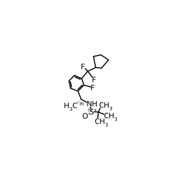 C[C@@H](N[S@+]([O-])C(C)(C)C)c1cccc(C(F)(F)C2CCCC2)c1F